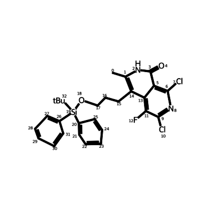 Cc1[nH]c(=O)c2c(Cl)nc(Cl)c(F)c2c1CCCO[Si](c1ccccc1)(c1ccccc1)C(C)(C)C